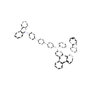 c1cc(-c2cccc3oc4ccccc4c23)cc(N(c2ccc(-c3ccc(-c4ccc(-n5c6ccccc6c6ccccc65)cc4)cc3)cc2)c2ccc3c4ccccc4c4ccccc4c3c2)c1